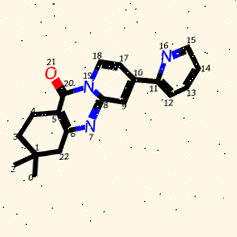 CC1(C)CCc2c(nc3cc(-c4ccccn4)ccn3c2=O)C1